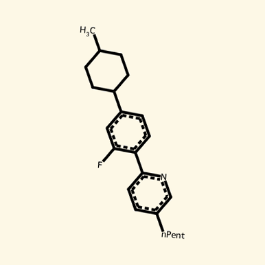 CCCCCc1ccc(-c2ccc(C3CCC(C)CC3)cc2F)nc1